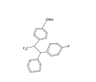 COc1ccc(C(C(c2ccccc2)c2ccc(F)cc2)C(F)(F)F)cc1